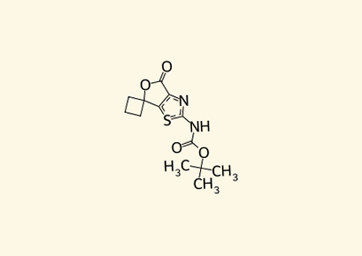 CC(C)(C)OC(=O)Nc1nc2c(s1)C1(CCC1)OC2=O